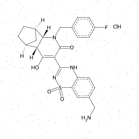 Cl.NCc1ccc2c(c1)S(=O)(=O)N=C(C1=C(O)[C@@H]3[C@H]4CC[C@H](C4)[C@@H]3N(Cc3ccc(F)cc3)C1=O)N2